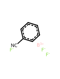 N#Cc1ccccc1.[B+3].[F-].[F-].[F-]